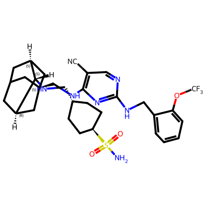 N#Cc1cnc(NCc2ccccc2OC(F)(F)F)nc1NC[C@]12CC3C[C@H](C1)[C@@H](NC[C@H]1CC[C@H](S(N)(=O)=O)CC1)[C@@H](C3)C2